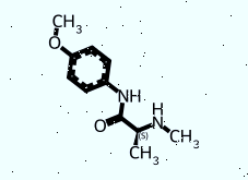 CN[C@@H](C)C(=O)Nc1ccc(OC)cc1